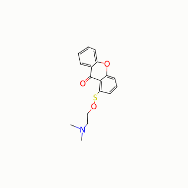 CN(C)CCOSc1cccc2oc3ccccc3c(=O)c12